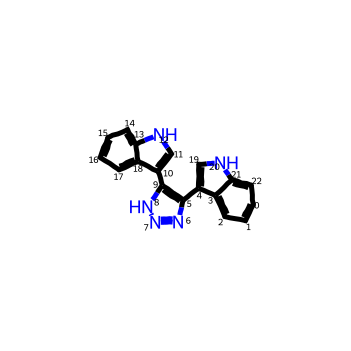 c1ccc2c(-c3nn[nH]c3-c3c[nH]c4ccccc34)c[nH]c2c1